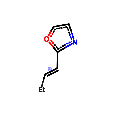 [CH2]C/C=C/c1ncco1